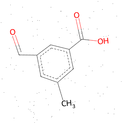 Cc1cc(C=O)cc(C(=O)O)c1